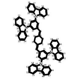 C(=C1CCC(=Cc2cc(-n3c4ccccc4c4ccccc43)cc(-n3c4ccccc4c4ccccc43)c2)CC1)c1cc(-n2c3ccccc3c3ccccc32)cc(-n2c3ccccc3c3ccccc32)c1